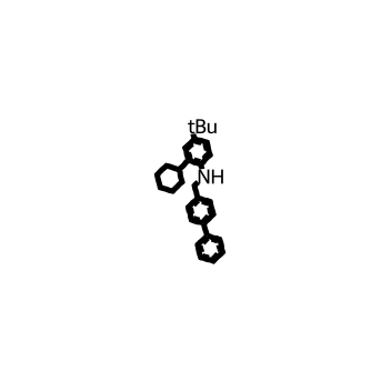 CC(C)(C)c1ccc(NCc2ccc(-c3ccccc3)cc2)c(C2CCCCC2)c1